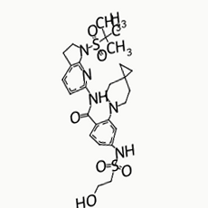 CC(C)(C)S(=O)(=O)N1CCc2ccc(NC(=O)c3ccc(NS(=O)(=O)CCO)cc3N3CCC4(CC3)CC4)nc21